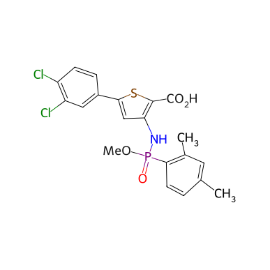 COP(=O)(Nc1cc(-c2ccc(Cl)c(Cl)c2)sc1C(=O)O)c1ccc(C)cc1C